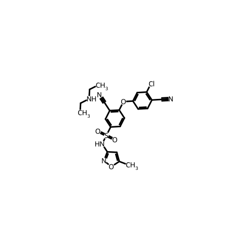 CCNCC.Cc1cc(NS(=O)(=O)c2ccc(Oc3ccc(C#N)c(Cl)c3)c(C#N)c2)no1